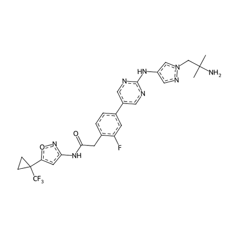 CC(C)(N)Cn1cc(Nc2ncc(-c3ccc(CC(=O)Nc4cc(C5(C(F)(F)F)CC5)on4)c(F)c3)cn2)cn1